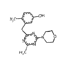 Cc1nc(Cc2cc(O)ccc2C)nc(N2CCOCC2)n1